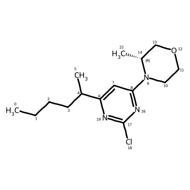 CCCCC(C)c1cc(N2CCOC[C@H]2C)nc(Cl)n1